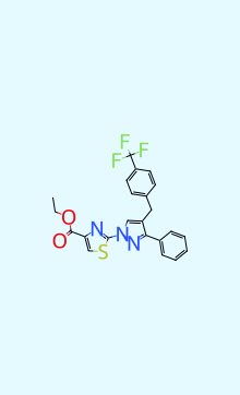 CCOC(=O)c1csc(-n2cc(Cc3ccc(C(F)(F)F)cc3)c(-c3ccccc3)n2)n1